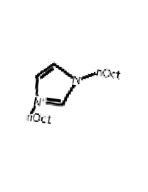 CCCCCCCCn1cc[n+](CCCCCCCC)c1